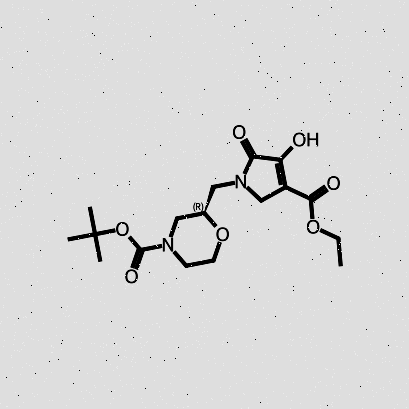 CCOC(=O)C1=C(O)C(=O)N(C[C@@H]2CN(C(=O)OC(C)(C)C)CCO2)C1